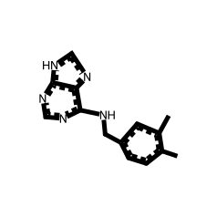 Cc1ccc(CNc2ncnc3[nH]cnc23)cc1C